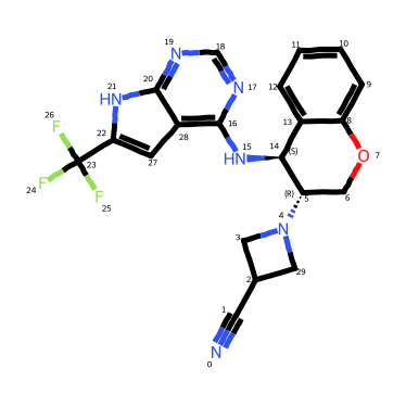 N#CC1CN([C@H]2COc3ccccc3[C@@H]2Nc2ncnc3[nH]c(C(F)(F)F)cc23)C1